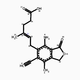 C#Cc1c(C)c2c(c(N)c1C/C=C(\C)CCC(=O)O)C(=O)OC2